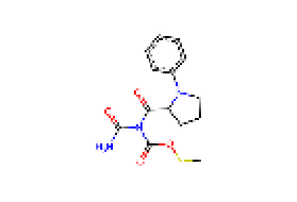 CSOC(=O)N(C(N)=O)C(=O)C1CCCN1c1ccccc1